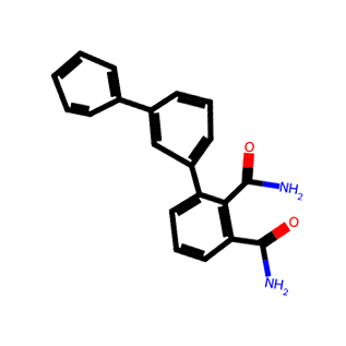 NC(=O)c1cccc(-c2cccc(-c3ccccc3)c2)c1C(N)=O